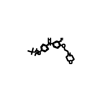 CC(C)(C)[Si](C)(C)Oc1ccc(Nc2ccc(OCCN3CCOCC3)c(F)c2)cc1